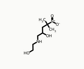 CC(C)(CC(O)CNCCO)[N+](=O)[O-]